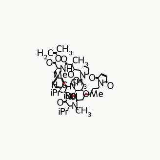 C=C(C)OC(=O)[C@H](Cc1ccccc1)NC(=O)[C@H](C)[C@@H](OC)[C@@H]1CCCN1C(=O)C[C@@H](OC)C([C@@H](C)CC)N(C)C(=C)[C@@H](NC(=O)[C@H](C(C)C)N(C)C(=O)CCCCCN1C(=O)C=CC1=O)C(C)C